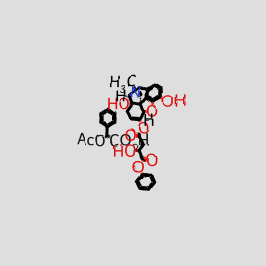 CC(=O)O[C@H](C(=O)O)c1ccccc1.CN1CC[C@]23c4c5ccc(O)c4O[C@H]2C(OC(=O)CC(O)C(=O)Oc2ccccc2)=CC[C@@]3(O)[C@H]1C5